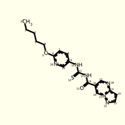 CCCCCOc1ccc(NC(=S)NC(=O)c2cnc3ccnn3c2)cn1